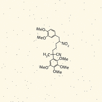 COc1ccc(CC(CCCC(C)(C#N)c2cc(OC)c(OC)c(OC)c2OC)[N+](=O)[O-])cc1OC